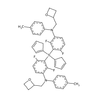 Cc1ccc(N(CC2CCO2)c2ccc(F)[c]([Ti]([C]3=CC=CC3)([C]3=CC=CC3)[c]3c(F)ccc(N(CC4CCO4)c4ccc(C)cc4)c3F)c2F)cc1